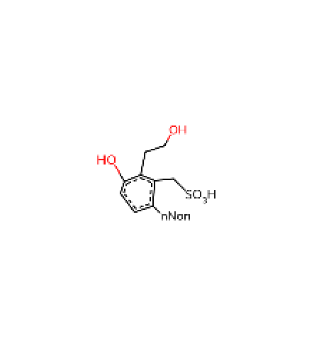 CCCCCCCCCc1ccc(O)c(CCO)c1CS(=O)(=O)O